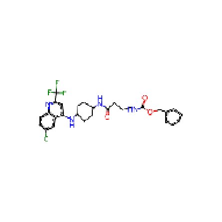 O=C(CCCNC(=O)OCc1ccccc1)NC1CCC(Nc2cc(C(F)(F)F)nc3ccc(Cl)cc23)CC1